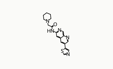 O=C(CN1CCCCC1)Nc1cc2cc(-c3cncs3)cnc2cn1